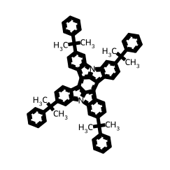 CC(C)(c1ccccc1)c1ccc2c3c4c5ccc(C(C)(C)c6ccccc6)cc5n5c6cc(C(C)(C)c7ccccc7)ccc6c(c6c7ccc(C(C)(C)c8ccccc8)cc7n(c2c1)c36)c45